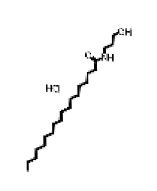 CCCCCCCCC=CCCCCCCCC(=O)NCCCO.Cl